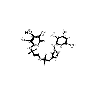 CC1OC(OC(C)(C)CCOC(C)(C)Cc2cn(C[C@H]3O[C@H](O)C[C@@H](O)[C@@H]3O)nn2)C(O)C(O)C1O